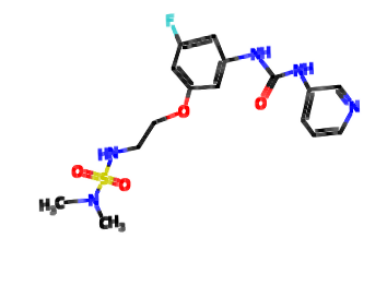 CN(C)S(=O)(=O)NCCOc1cc(F)cc(NC(=O)Nc2cccnc2)c1